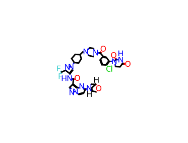 O=C1CCN(c2cc(C(=O)N3CCN(CC4CCC(n5cc(NC(=O)c6cnn7ccc(N8C[C@H]9C[C@@H]8CO9)nc67)c(C(F)F)n5)CC4)CC3)ccc2Cl)C(=O)N1